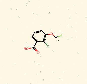 O=C(O)c1cccc(OCF)c1Cl